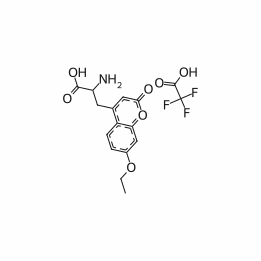 CCOc1ccc2c(CC(N)C(=O)O)cc(=O)oc2c1.O=C(O)C(F)(F)F